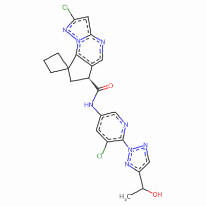 CC(O)c1cnn(-c2ncc(NC(=O)[C@H]3CC4(CCC4)c4c3cnc3cc(Cl)nn43)cc2Cl)n1